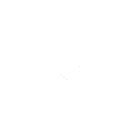 COCC(C)(C(C)OC)[N+](=O)[O-]